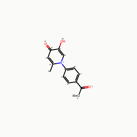 COC(=O)c1ccc(-n2cc(O)c(=O)cc2C)cc1